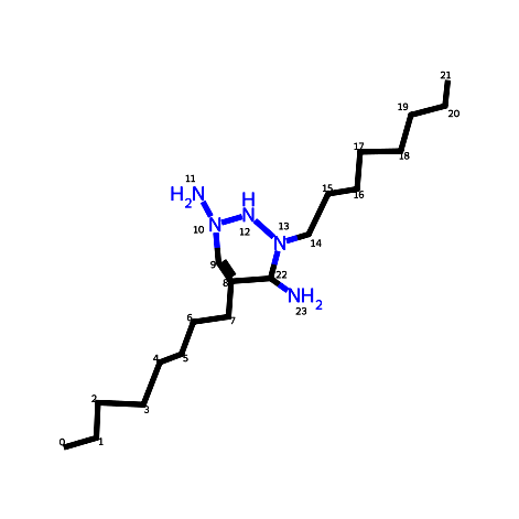 CCCCCCCCC1=CN(N)NN(CCCCCCCC)C1N